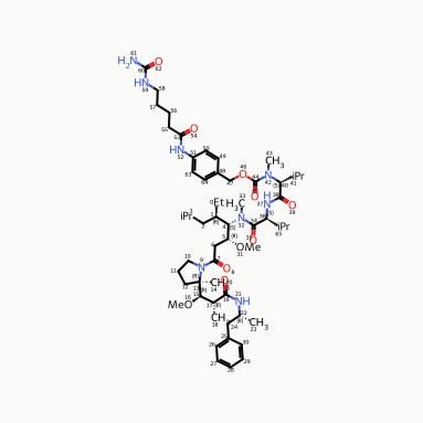 CC[C@H](CC(C)C)[C@@H]([C@@H](CC(=O)N1CCC[C@]1(C)[C@H](OC)[C@@H](C)C(=O)N[C@H](C)Cc1ccccc1)OC)N(C)C(=O)[C@@H](NC(=O)[C@H](C(C)C)N(C)C(=O)OCc1ccc(NC(=O)CCCCNC(N)=O)cc1)C(C)C